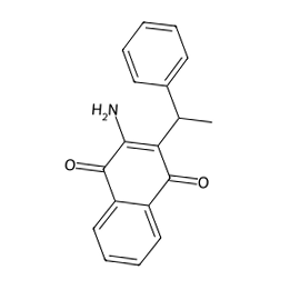 CC(C1=C(N)C(=O)c2ccccc2C1=O)c1ccccc1